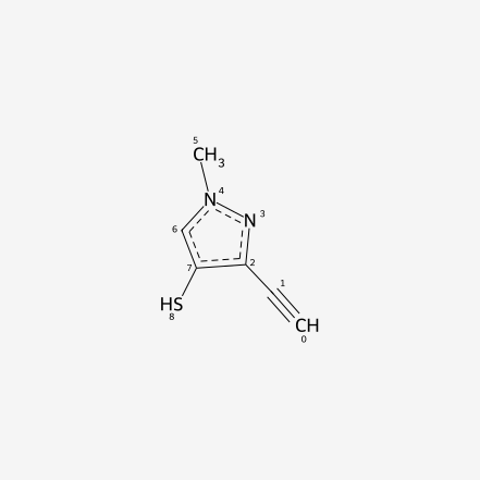 C#Cc1nn(C)cc1S